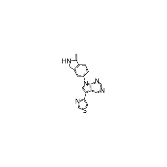 C=C1NCc2cc(-n3cc(-c4cscn4)c4cncnc43)ccc21